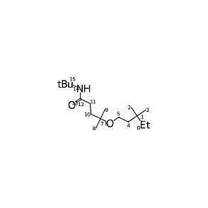 CCC(C)(C)CCOC(C)(C)CCC(=O)NC(C)(C)C